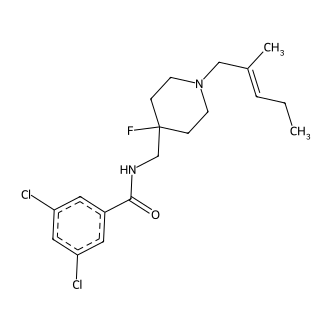 CCC=C(C)CN1CCC(F)(CNC(=O)c2cc(Cl)cc(Cl)c2)CC1